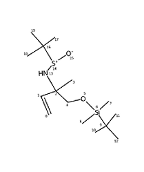 C=CC(C)(CO[Si](C)(C)C(C)(C)C)N[S+]([O-])C(C)(C)C